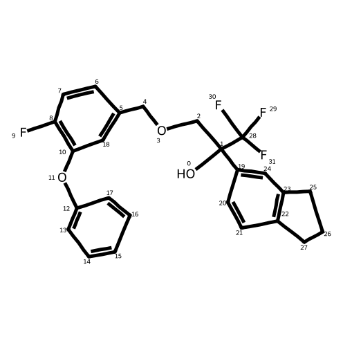 OC(COCc1ccc(F)c(Oc2ccccc2)c1)(c1ccc2c(c1)CCC2)C(F)(F)F